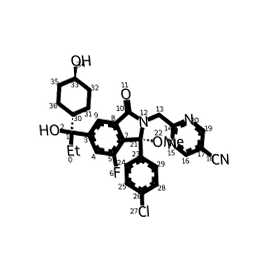 CCC(O)(c1cc(F)c2c(c1)C(=O)N(Cc1ncc(C#N)cn1)[C@@]2(OC)c1ccc(Cl)cc1)[C@H]1CC[C@H](O)CC1